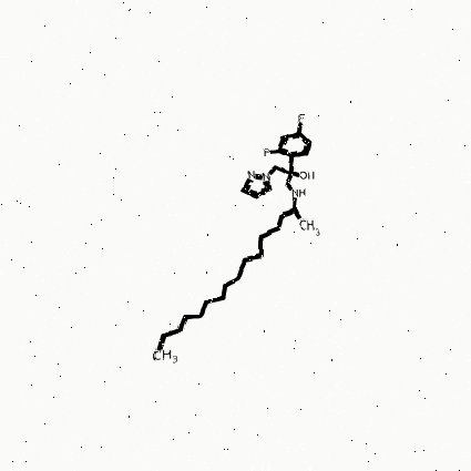 CCCCCCCCCCCCCCC(C)NCC(O)(Cn1cccn1)c1ccc(F)cc1F